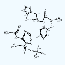 CC(=O)Oc1ccccc1C(=O)O.COC(=O)[C@H](c1ccccc1Cl)N1CCc2sccc2C1.O=S(=O)(O)O